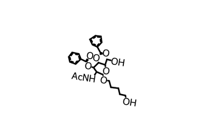 CC(=O)NC1C(OC(=O)c2ccccc2)[C@@H](OC(=O)c2ccccc2)C(CO)O[C@H]1OCCCCCO